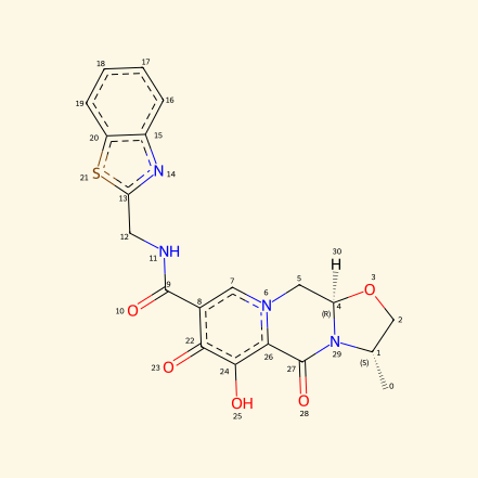 C[C@H]1CO[C@@H]2Cn3cc(C(=O)NCc4nc5ccccc5s4)c(=O)c(O)c3C(=O)N12